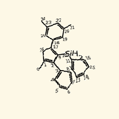 CC1=C(c2ccccc2)C([SiH2]c2ccccc2)=C(c2cc(C)cc(C)c2)C1